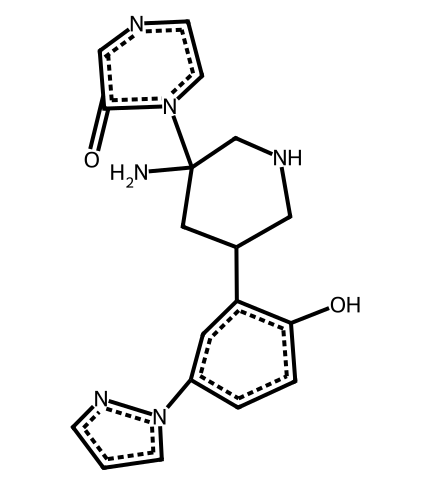 NC1(n2ccncc2=O)CNCC(c2cc(-n3cccn3)ccc2O)C1